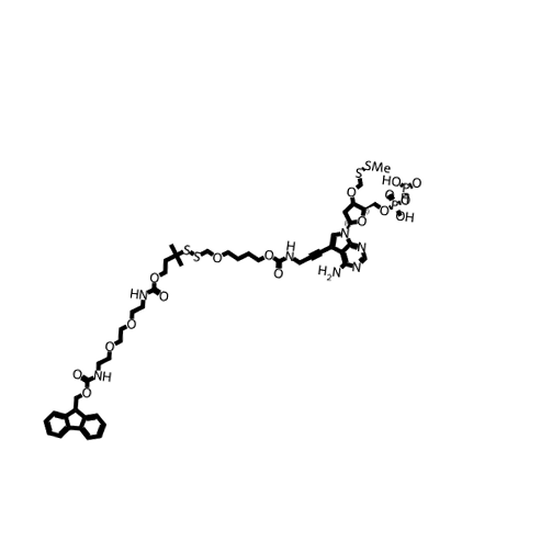 CSSCOC1C[C@H](n2cc(C#CCNC(=O)OCCCCOCSSC(C)(C)CCOC(=O)NCCOCCOCCNC(=O)OCC3c4ccccc4-c4ccccc43)c3c(N)ncnc32)O[C@@H]1COP(=O)(O)O[PH](=O)O